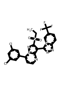 CCS(=O)(=O)c1nn2c(-c3cc(Cl)cc(Cl)c3)ccnc2c1-c1nnc2ccc(C(F)(F)F)cn12